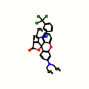 CCN(CC)c1ccc2c(c1)Oc1ccccc1C21OC(=O)c2ccc(C)c(Nc3cccc(C(Cl)(Cl)Cl)c3)c21